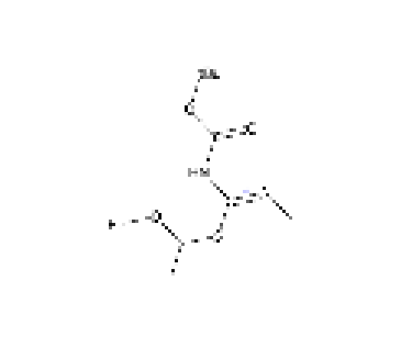 CCOC(C)S/C(=N\C)NC(=O)OC(C)(C)C